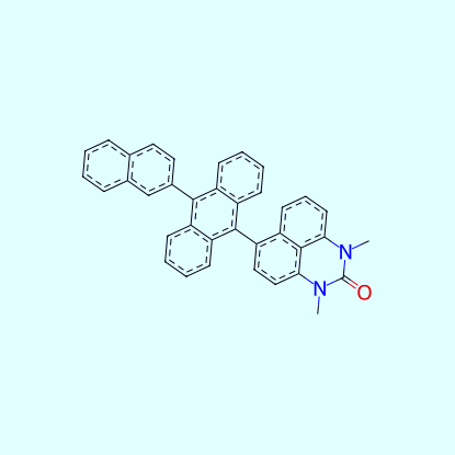 CN1C(=O)N(C)c2ccc(-c3c4ccccc4c(-c4ccc5ccccc5c4)c4ccccc34)c3cccc1c23